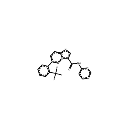 O=C(Nc1ccncn1)c1cnc2ccc(-c3ccccc3C(F)(F)F)nn12